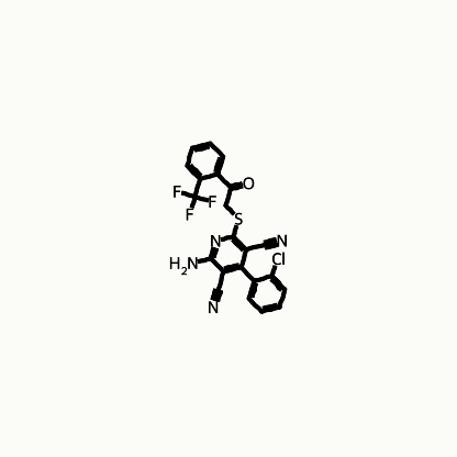 N#Cc1c(N)nc(SCC(=O)c2ccccc2C(F)(F)F)c(C#N)c1-c1ccccc1Cl